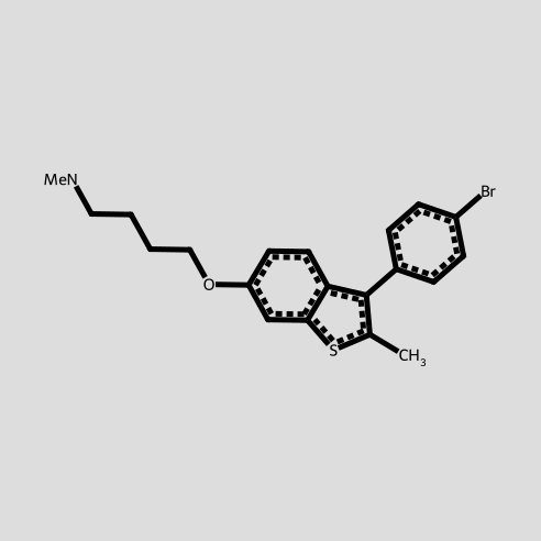 CNCCCCOc1ccc2c(-c3ccc(Br)cc3)c(C)sc2c1